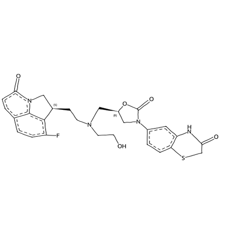 O=C1CSc2ccc(N3C[C@@H](CN(CCO)CC[C@@H]4Cn5c(=O)ccc6ccc(F)c4c65)OC3=O)cc2N1